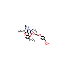 COC(=O)C1=C(C)NC(C)=C(C(=O)OCCCOc2ccc(CCO)cc2)C1c1cccc([N+](=O)[O-])c1